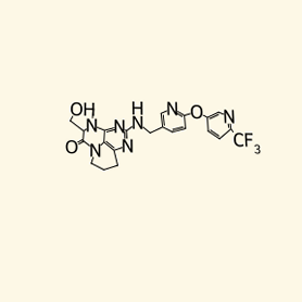 CN1c2nc(NCc3ccc(Oc4ccc(C(F)(F)F)nc4)nc3)nc3c2N(CCC3)C(=O)C1CO